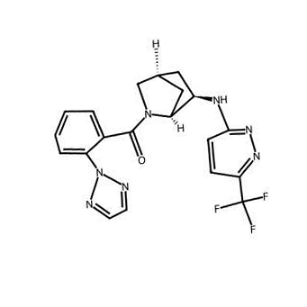 O=C(c1ccccc1-n1nccn1)N1C[C@H]2C[C@@H](Nc3ccc(C(F)(F)F)nn3)[C@@H]1C2